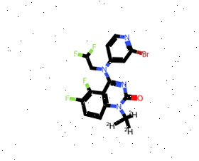 [2H]C([2H])([2H])n1c(=O)nc(N(CC(F)F)c2ccnc(Br)c2)c2c(F)c(F)ccc21